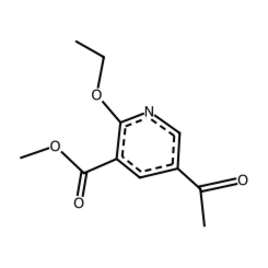 CCOc1ncc(C(C)=O)cc1C(=O)OC